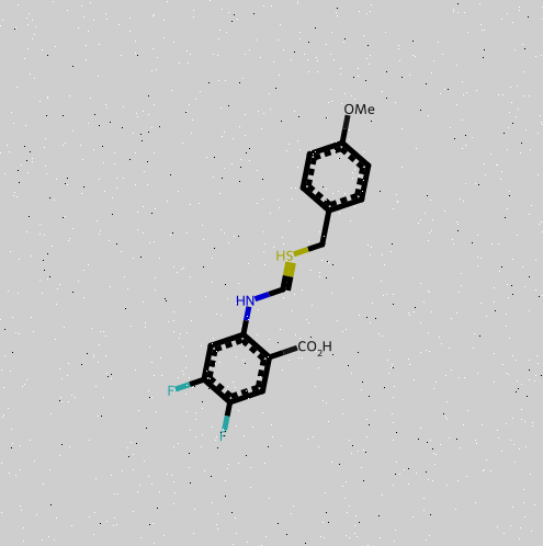 COc1ccc(C[SH]=CNc2cc(F)c(F)cc2C(=O)O)cc1